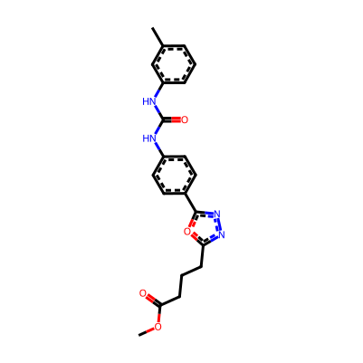 COC(=O)CCCc1nnc(-c2ccc(NC(=O)Nc3cccc(C)c3)cc2)o1